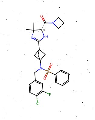 CC1(C)N=C(C23CC(N(Cc4ccc(Cl)c(F)c4)S(=O)(=O)c4ccccc4)(C2)C3)N[C@H]1C(=O)N1CCC1